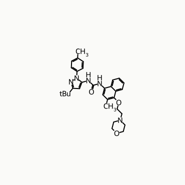 Cc1ccc(-n2nc(C(C)(C)C)cc2NC(=O)Nc2cc(C)c(OCCN3CCOCC3)c3ccccc23)cc1